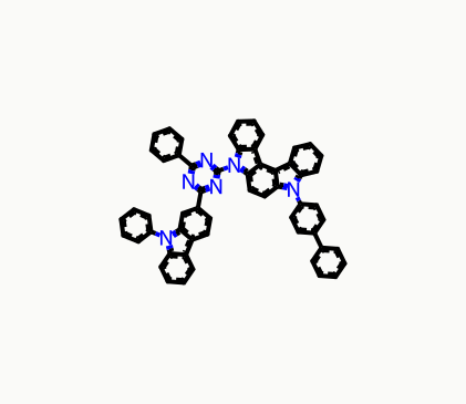 c1ccc(-c2ccc(-n3c4ccccc4c4c5c6ccccc6n(-c6nc(-c7ccccc7)nc(-c7ccc8c9ccccc9n(-c9ccccc9)c8c7)n6)c5ccc43)cc2)cc1